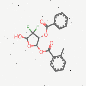 Cc1ccccc1C(=O)O[C@H]1OC(O)C(F)(F)[C@@H]1OC(=O)c1ccccc1